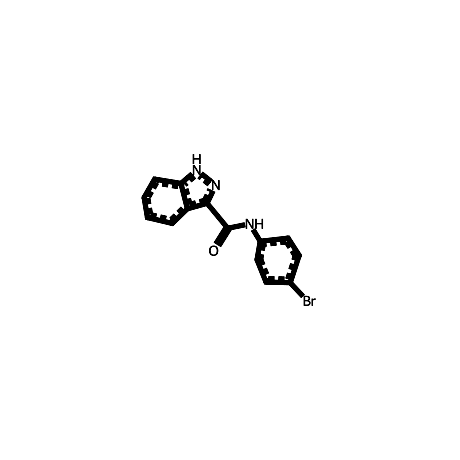 O=C(Nc1ccc(Br)cc1)c1n[nH]c2ccccc12